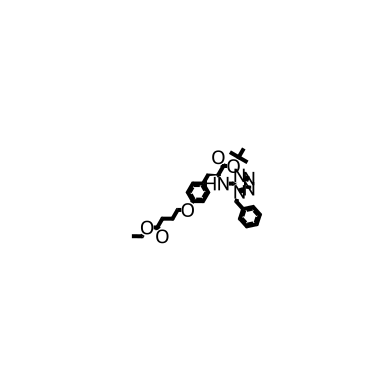 CCOC(=O)CCCOc1ccc(C[C@H](Nc2nnnn2Cc2ccccc2)C(=O)OC(C)(C)C)cc1